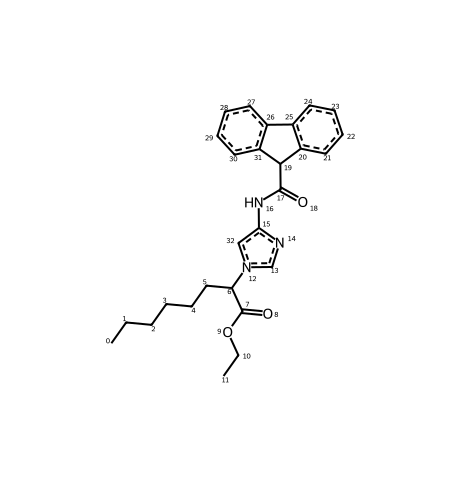 CCCCCCC(C(=O)OCC)n1cnc(NC(=O)C2c3ccccc3-c3ccccc32)c1